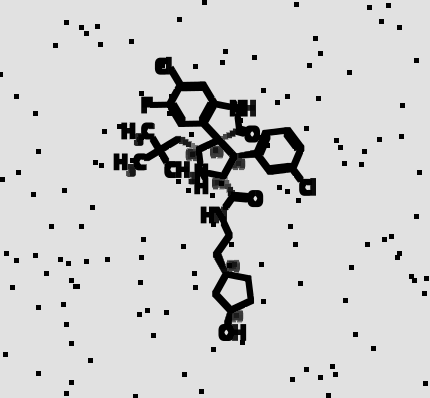 CC(C)(C)C[C@H]1N[C@@H](C(=O)NCC[C@H]2CC[C@@H](O)C2)[C@H](c2cccc(Cl)c2)[C@@]12C(=O)Nc1cc(Cl)c(F)cc12